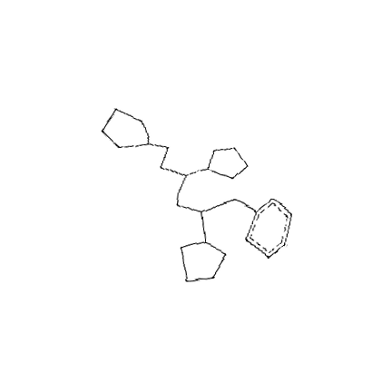 [c]1ccc(CC(CC(CCC2CCCC2)C2CCCC2)C2CCCC2)cc1